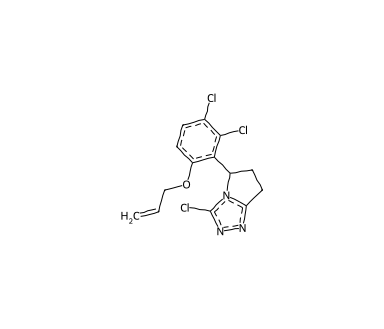 C=CCOc1ccc(Cl)c(Cl)c1C1CCc2nnc(Cl)n21